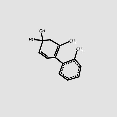 CC1=C(c2ccccc2C)C=CC(O)(O)C1